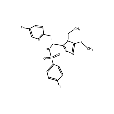 CCn1c(OC)nnc1[C@@H](Cc1ccc(F)cn1)NS(=O)(=O)c1ccc(Cl)cc1